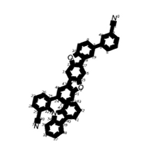 N#Cc1cccc(-c2ccc3oc4cc5c(cc4c3c2)oc2ccc(-c3cccc(C#N)c3-n3c4ccccc4c4ccccc43)cc25)c1